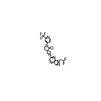 O=C1N(c2ccnc(C(F)(F)F)c2)CCC12CN(c1cnc3cnn(CC(F)F)c3n1)C2